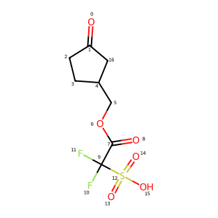 O=C1CCC(COC(=O)C(F)(F)S(=O)(=O)O)C1